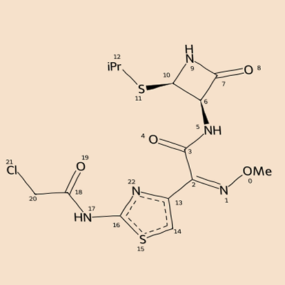 CO/N=C(\C(=O)N[C@@H]1C(=O)N[C@@H]1SC(C)C)c1csc(NC(=O)CCl)n1